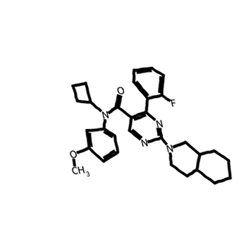 COc1cccc(N(C(=O)c2cnc(N3CCC4CCCCC4C3)nc2-c2ccccc2F)C2CCC2)c1